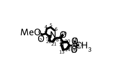 COC(=O)C1CCCn2c(C(=O)c3cccc(S(C)(=O)=O)c3)ccc21